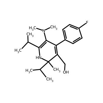 CC(C)C1=C(N(C)C)C(c2ccc(F)cc2)=C(CO)C(C)(C(C)C)N1